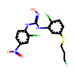 O=[N+]([O-])c1ccc(N/C(=N\O)Nc2cc(SCCCF)ccc2Cl)c(Cl)c1